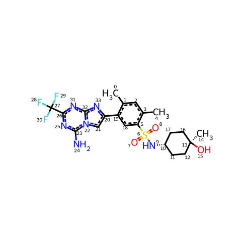 Cc1cc(C)c(S(=O)(=O)N[C@H]2CC[C@](C)(O)CC2)cc1-c1cn2c(N)nc(C(F)(F)F)nc2n1